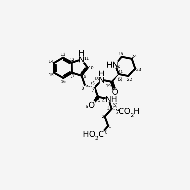 O=C(O)CC[C@H](NC(=O)[C@H](Cc1c[nH]c2ccccc12)NC(=O)[C@@H]1CCCCN1)C(=O)O